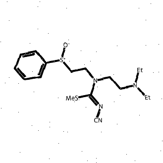 CCN(CC)CCN(CC[S+]([O-])c1ccccc1)/C(=N/C#N)SC